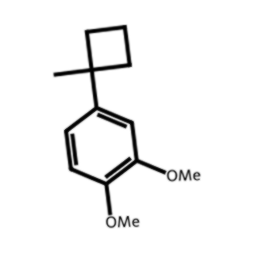 COc1ccc(C2(C)CCC2)cc1OC